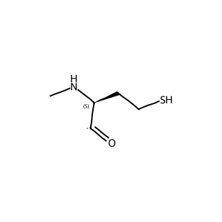 CN[C@H]([C]=O)CCS